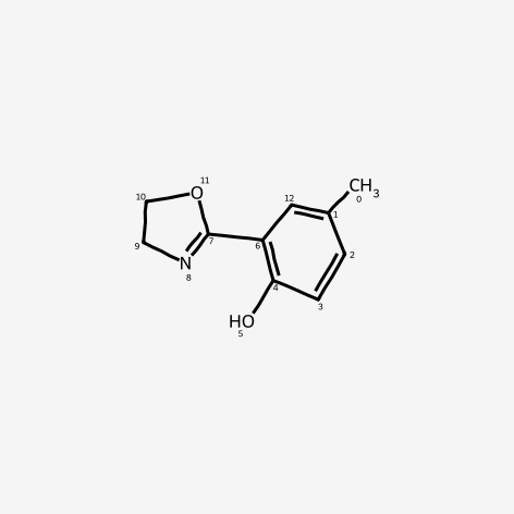 Cc1ccc(O)c(C2=NCCO2)c1